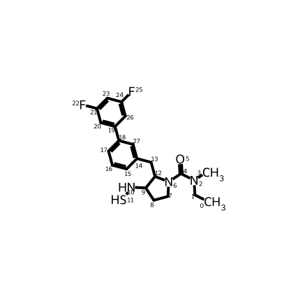 CCN(C)C(=O)N1CCC(NS)C1Cc1cccc(-c2cc(F)cc(F)c2)c1